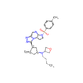 CC[C@@H]1C[C@H](N(CCCC(F)(F)F)C2COC2)C[C@@H]1c1nnc2cnc3c(ccn3S(=O)(=O)c3ccc(C)cc3)n12